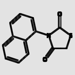 O=C1CSC(=O)N1c1cccc2ccccc12